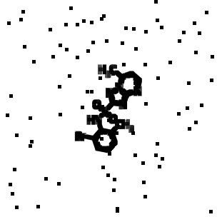 Cc1cccc(Br)c1NS(=O)(=O)c1nc2nccc(C)n2n1